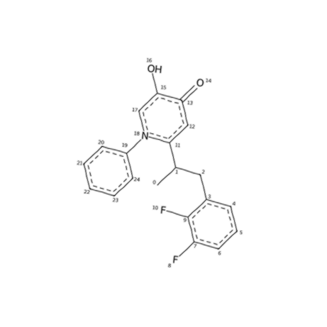 CC(Cc1cccc(F)c1F)c1cc(=O)c(O)cn1-c1ccccc1